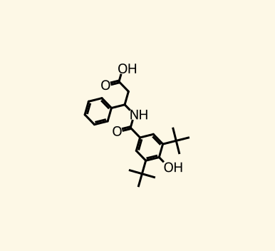 CC(C)(C)c1cc(C(=O)NC(CC(=O)O)c2ccccc2)cc(C(C)(C)C)c1O